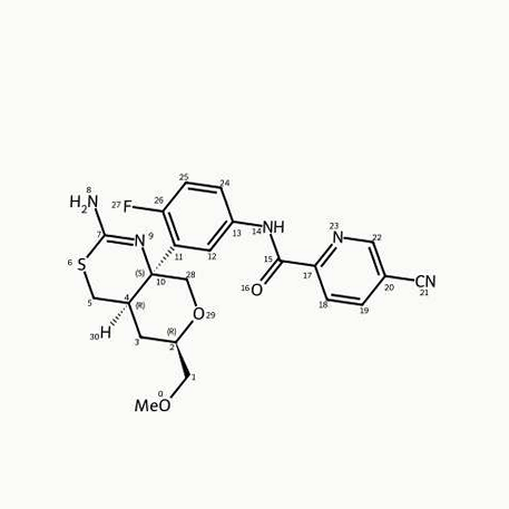 COC[C@H]1C[C@H]2CSC(N)=N[C@@]2(c2cc(NC(=O)c3ccc(C#N)cn3)ccc2F)CO1